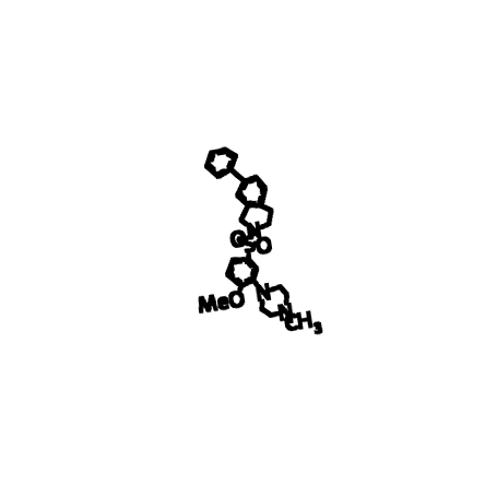 COc1ccc(S(=O)(=O)N2CCc3ccc(-c4ccccc4)cc3C2)cc1N1CCN(C)CC1